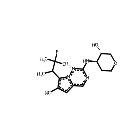 CC(c1c(C#N)cc2cnc(N[C@@H]3CCOC[C@H]3O)nn12)C(C)(C)F